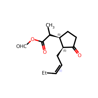 CC/C=C\C[C@@H]1C(=O)CC[C@@H]1C(C)C(=O)OC=O